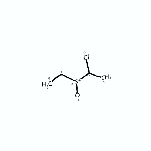 CC[S+]([O-])C(C)Cl